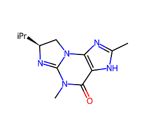 Cc1nc2c([nH]1)C(=O)N(C)C1=N[C@@H](C(C)C)CN12